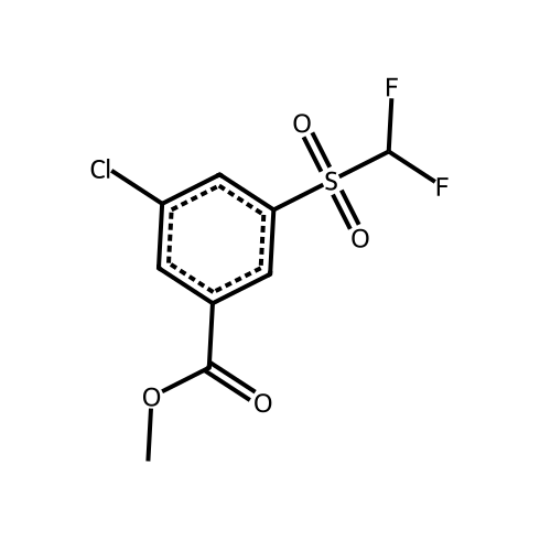 COC(=O)c1cc(Cl)cc(S(=O)(=O)C(F)F)c1